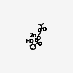 C=C(C)C(=O)OCCOOC(=O)c1ccccc1O.[Zn]